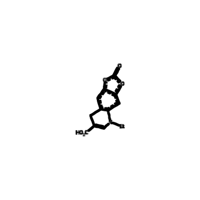 CCN1C=C(C(=O)O)Cc2cc3oc(=O)oc3cc21